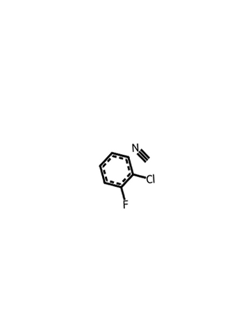 C#N.Fc1ccccc1Cl